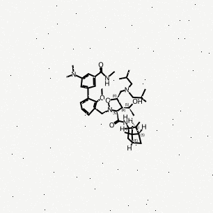 CNC(=O)c1cc(-c2cccc(CN3O[C@@H](CN(CC(C)C)CC(C)C)[C@@H]([C@H](C)O)[C@H]3C(=O)N[C@H]3C[C@H]4C[C@@H]([C@@H]3C)C4(C)C)c2OC)cc(N(C)C)c1